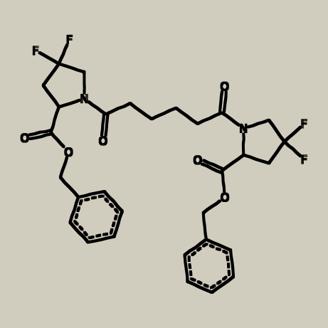 O=C(OCc1ccccc1)C1CC(F)(F)CN1C(=O)CCCCC(=O)N1CC(F)(F)CC1C(=O)OCc1ccccc1